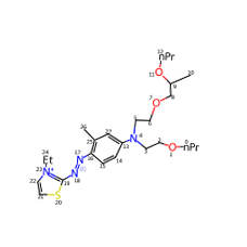 CCCOCCN(CCOCC(C)OCCC)c1ccc(/N=N/c2scc[n+]2CC)c(C)c1